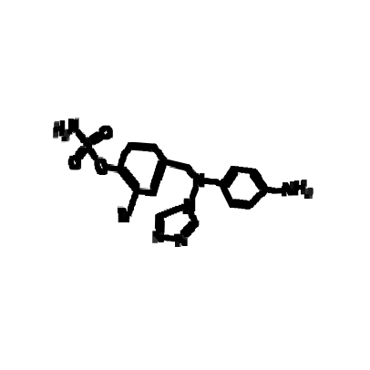 Nc1ccc(N(Cc2ccc(OS(N)(=O)=O)c(Br)c2)n2cnnc2)cc1